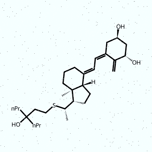 C=C1C(=CC=C2CCC[C@]3(C)[C@@H]([C@H](C)SCCC(O)(CCC)CCC)CC[C@@H]23)C[C@@H](O)C[C@@H]1O